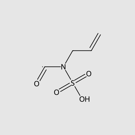 C=CCN([C]=O)S(=O)(=O)O